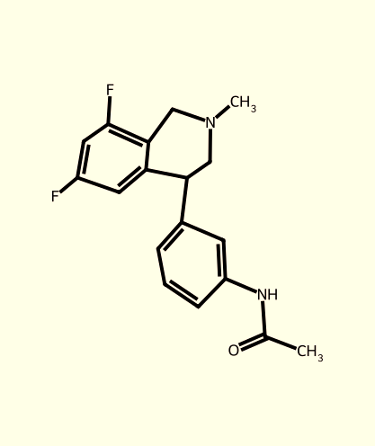 CC(=O)Nc1cccc(C2CN(C)Cc3c(F)cc(F)cc32)c1